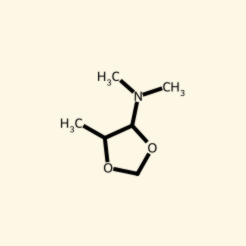 CC1OCOC1N(C)C